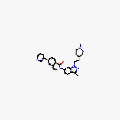 COc1cc(-c2cccnc2)ccc1C(=O)Nc1ccc2c(C)nn(CCC3CCN(C)CC3)c2c1